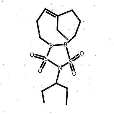 CC/C1=C\CCB2B(CCC1)S(=O)(=O)N(C(CC)CC)S2(=O)=O